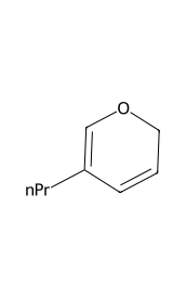 [CH2]CCC1=COCC=C1